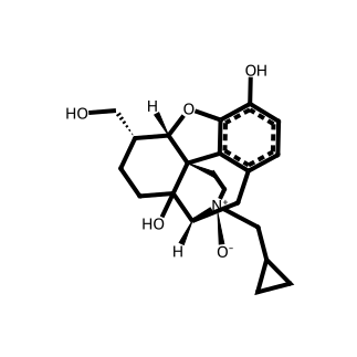 [O-][N@+]1(CC2CC2)CC[C@]23c4c5ccc(O)c4O[C@H]2[C@@H](CO)CCC3(O)[C@H]1C5